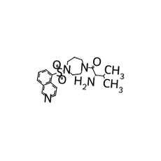 CC(C)[C@H](N)C(=O)N1CCCN(S(=O)(=O)c2cccc3cnccc23)CC1